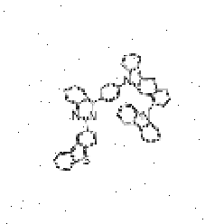 c1cc(-n2c3ccccc3c3ccccc32)c2cc3c(cc2c1)c1ccccc1n3-c1ccc(-c2nc(-c3ccc4sc5ccccc5c4c3)nc3ccccc23)cc1